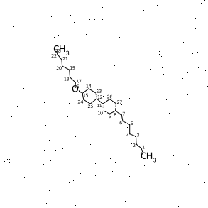 CCCCCCCC[C@H]1CC[C@H]([C@H]2CC[C@H](OCCCCCCC)CC2)CC1